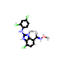 CCCCn1c(Nc2ccc(Cl)cc2Cl)nc2c(Cl)ccc(/C(CC)=N/OCC)c21